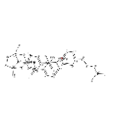 COc1cccc(C(=O)N[C@H]2C[C@H]3CC[C@@H](C2)N3c2ccc(C(=O)Nc3ccc(OCCN(C)C)cc3)cn2)c1C